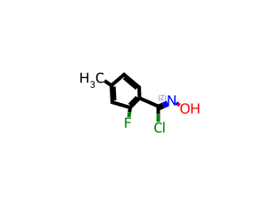 Cc1ccc(/C(Cl)=N/O)c(F)c1